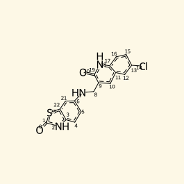 O=c1[nH]c2ccc(NCc3cc4cc(Cl)ccc4[nH]c3=O)cc2s1